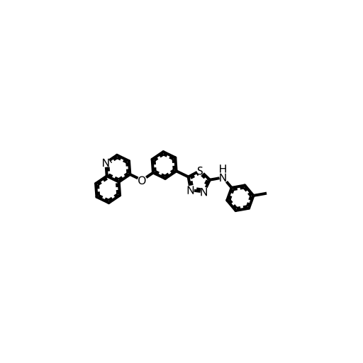 Cc1cccc(Nc2nnc(-c3cccc(Oc4ccnc5ccccc45)c3)s2)c1